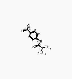 CN(C)C(=O)Nc1ccc(C(Cl)Cl)cc1